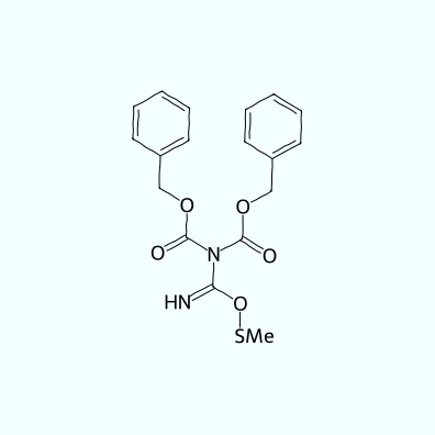 CSOC(=N)N(C(=O)OCc1ccccc1)C(=O)OCc1ccccc1